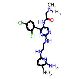 CN(C)CC(=O)Nc1cnc(NCCNc2ccc([N+](=O)[O-])c(N)n2)nc1-c1ccc(Cl)cc1Cl